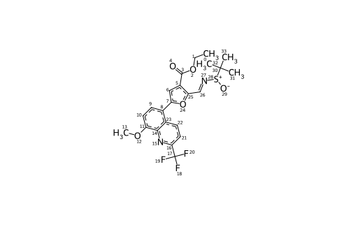 CCOC(=O)c1cc(-c2ccc(OC)c3nc(C(F)(F)F)ccc23)oc1/C=N/[S+]([O-])C(C)(C)C